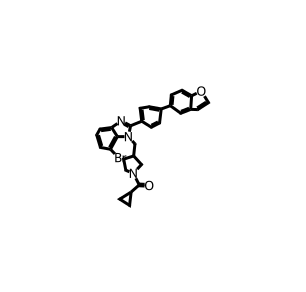 O=C(C1CC1)N1CCC(Cn2c(-c3ccc(-c4ccc5occc5c4)cc3)nc3cccc(Br)c32)C1